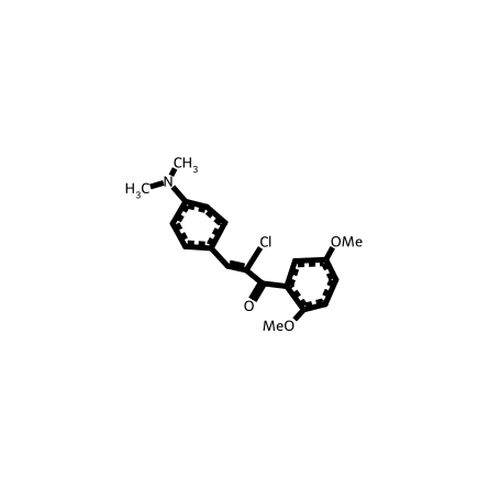 COc1ccc(OC)c(C(=O)C(Cl)=Cc2ccc(N(C)C)cc2)c1